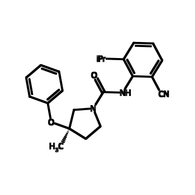 CC(C)c1cccc(C#N)c1NC(=O)N1CC[C@@](C)(Oc2ccccc2)C1